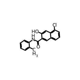 Cc1ccccc1NC(=O)c1cc2cccc(Cl)c2cc1O